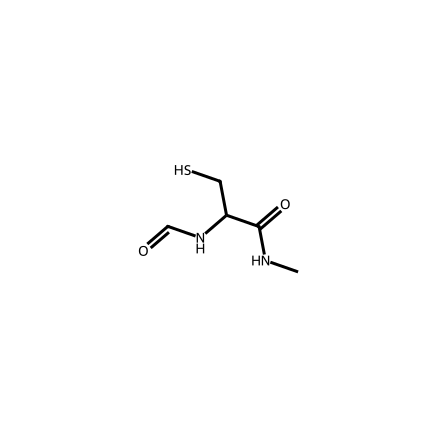 CNC(=O)C(CS)NC=O